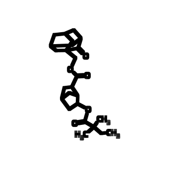 CCC(C)(C)C(=O)OC1CC2CC(C(=O)OCC34CC5CC(CC(C5)C3=O)C4)C1C2